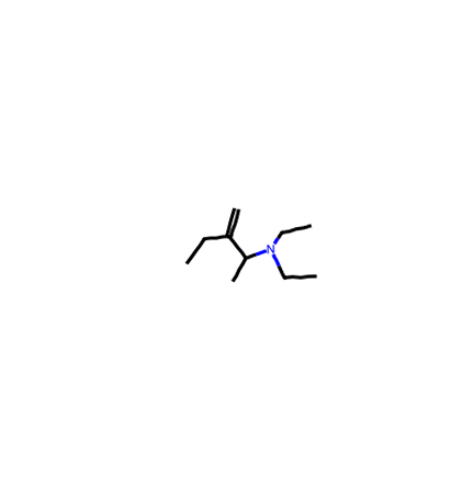 C=C(CC)C(C)N(CC)CC